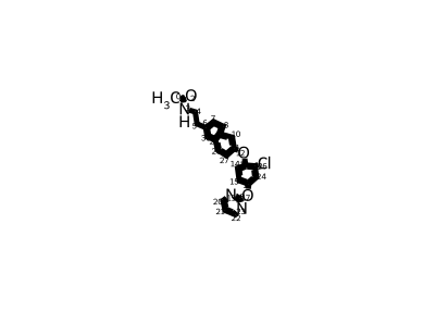 CC(=O)NCCc1ccc2cc(Oc3ccc(Oc4ncccn4)cc3Cl)ccc2c1